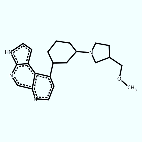 COCC1CCN(C2[CH]CCC(c3ccnc4cnc5[nH]ccc5c34)C2)C1